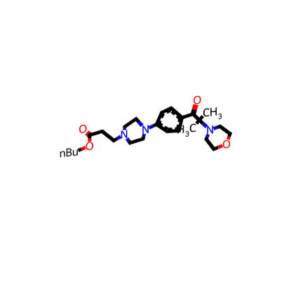 CCCCOC(=O)CCN1CCN(c2ccc(C(=O)C(C)(C)N3CCOCC3)cc2)CC1